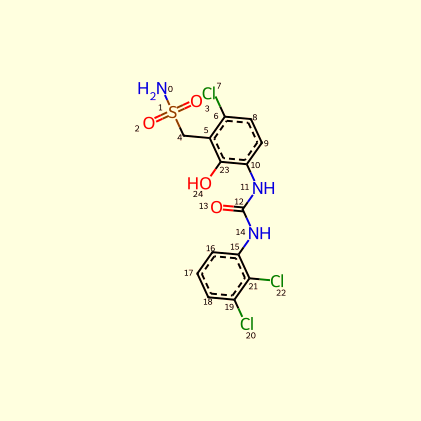 NS(=O)(=O)Cc1c(Cl)ccc(NC(=O)Nc2cccc(Cl)c2Cl)c1O